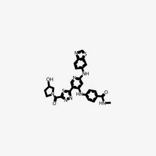 CNC(=O)c1ccc(Nc2cc(Nc3ccc4ncsc4c3)ncc2-c2nnc(C(=O)N3CCC(O)C3)s2)cc1